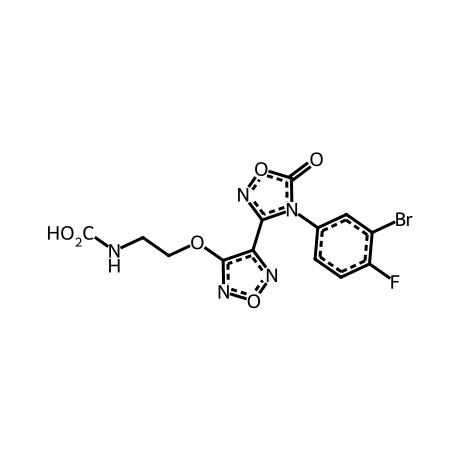 O=C(O)NCCOc1nonc1-c1noc(=O)n1-c1ccc(F)c(Br)c1